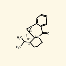 CC(C)[C@@H]1CCCN2C(=O)c3ccccc3N3C[C@@H]3[C@H]12